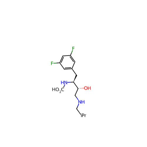 CC(C)CNC[C@@H](O)[C@H](Cc1cc(F)cc(F)c1)NC(=O)O